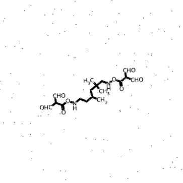 CC(CCNOC(=O)C(C=O)C=O)CC(C)(C)CNOC(=O)C(C=O)C=O